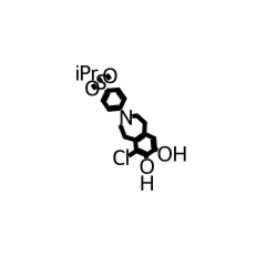 CC(C)S(=O)(=O)c1ccc(N2CCc3cc(O)c(O)c(Cl)c3CC2)cc1